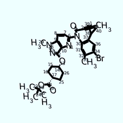 CC#CC(=O)N(c1ccc2c(n1)c(O[C@H]1CC[C@@H](C(=O)OC(C)(C)C)CC1)nn2C)c1cc(C)c(Br)cc1C1CC1